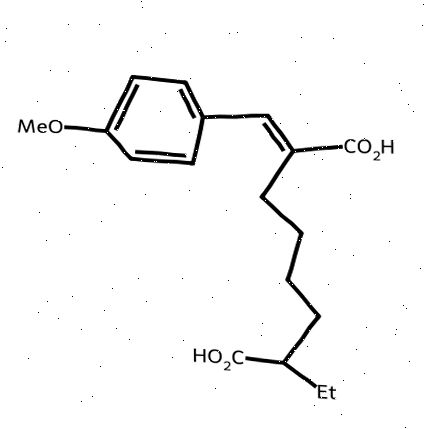 CCC(CCCCC(=Cc1ccc(OC)cc1)C(=O)O)C(=O)O